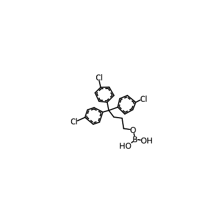 OB(O)OCCCC(c1ccc(Cl)cc1)(c1ccc(Cl)cc1)c1ccc(Cl)cc1